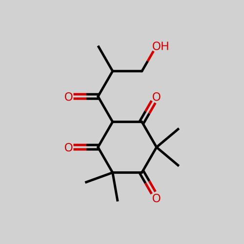 CC(CO)C(=O)C1C(=O)C(C)(C)C(=O)C(C)(C)C1=O